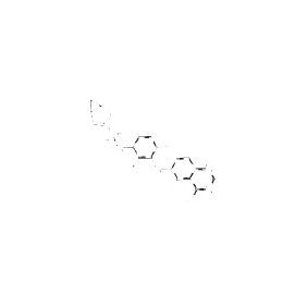 Cc1c(Nc2c(F)ccc(NS(=O)(=O)N3CC4CC4C3)c2Cl)ccc2ncn(C)c(=O)c12